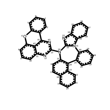 c1ccc2c(c1)Oc1cccc3nc(N4c5ccc6ccccc6c5-c5ccccc5-n5c4nc4ccccc45)nc-2c13